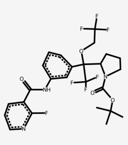 CC(C)(C)OC(=O)N1CCCC1C(OCC(F)(F)F)(c1cccc(NC(=O)c2cccnc2F)c1)C(F)(F)F